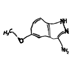 COc1ccc2[nH]nc(N)c2c1